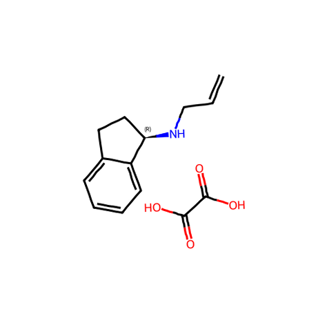 C=CCN[C@@H]1CCc2ccccc21.O=C(O)C(=O)O